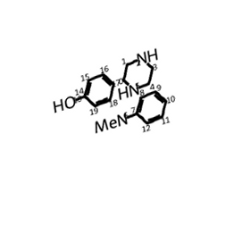 C1CNCCN1.CNc1ccccc1.Oc1ccccc1